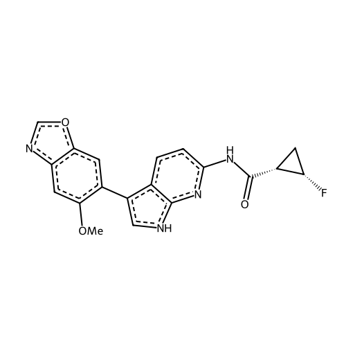 COc1cc2ncoc2cc1-c1c[nH]c2nc(NC(=O)[C@@H]3C[C@@H]3F)ccc12